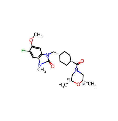 COc1cc2c(cc1F)n(C)c(=O)n2C[C@H]1CC[C@H](C(=O)N2C[C@@H](C)O[C@@H](C)C2)CC1